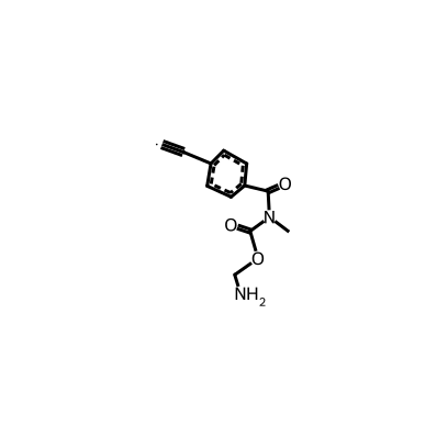 [C]#Cc1ccc(C(=O)N(C)C(=O)OCN)cc1